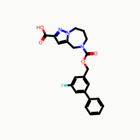 O=C(O)c1cc2n(n1)CCCN(C(=O)OCc1cc(F)cc(-c3ccccc3)c1)C2